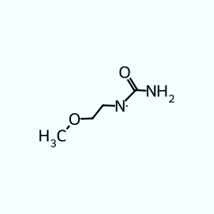 COCC[N]C(N)=O